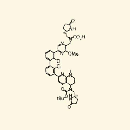 COc1nc(-c2cccc(-c3cccc(-c4ccc5c(n4)N(C)CCC5N(C[C@@H]4CCC(=O)N4)C(=O)OC(C)(C)C)c3Cl)c2Cl)cnc1CN(C[C@@H]1CCC(=O)N1)C(=O)O